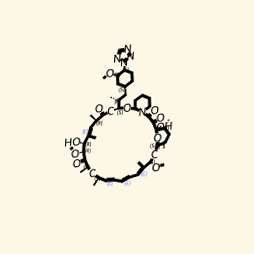 CO[C@H]1C[C@@H]2CC[C@@H](C)[C@@](O)(O2)C(=O)C(=O)N2CCCCC2O[C@H]([C@H](C)C[C@@H]2CC[C@H](n3ncnn3)[C@H](OC)C2)CC(=O)[C@H](C)/C=C(\C)[C@@H](O)[C@@H](OC)C(=O)[C@H](C)C[C@H](C)/C=C/C=C/C=C/1C